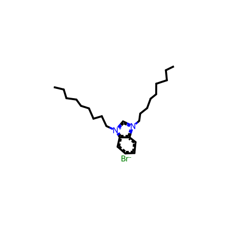 CCCCCCCCCn1c[n+](CCCCCCCCC)c2ccccc21.[Br-]